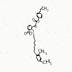 CCc1ccc(OC(=O)C2OC2c2cccc([N+](=O)[O-])c2CCCCCCCCCCc2ccc(C)cc2C)cc1